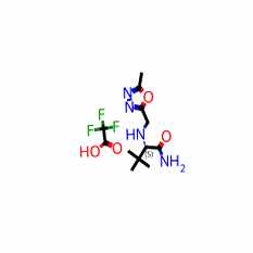 Cc1nnc(CN[C@H](C(N)=O)C(C)(C)C)o1.O=C(O)C(F)(F)F